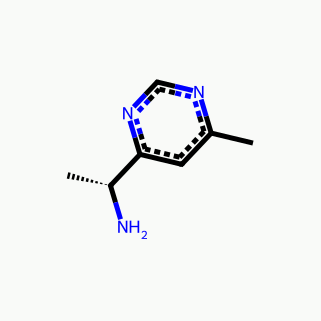 Cc1cc([C@@H](C)N)ncn1